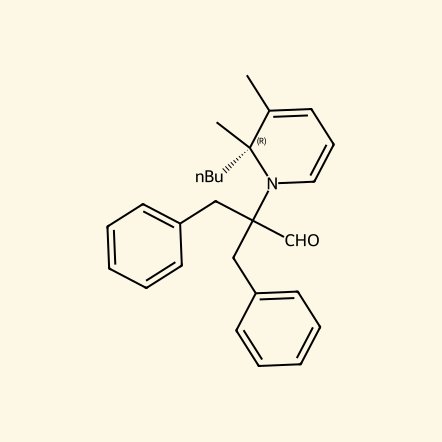 CCCC[C@]1(C)C(C)=CC=CN1C(C=O)(Cc1ccccc1)Cc1ccccc1